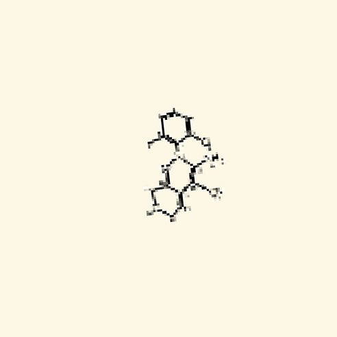 Cc1cccc(Cl)c1N1N=C2COCC=C2C(C#N)=C1N